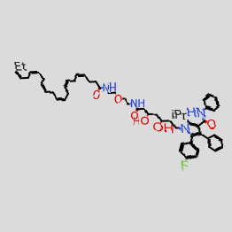 CC/C=C\C/C=C\C/C=C\C/C=C\C/C=C\C/C=C\CCC(=O)NCCOCCNC(=O)C[C@H](O)C[C@H](O)CCn1c(-c2ccc(F)cc2)c(-c2ccccc2)c(C(=O)Nc2ccccc2)c1C(C)C